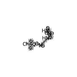 CN(CCOc1ccc(/C(=C(/CCCl)c2ccccc2)c2ccccc2)cc1)C(=O)CCCCCCNc1cccc2c1CN(C1CCC(=O)NC1=O)C2=O